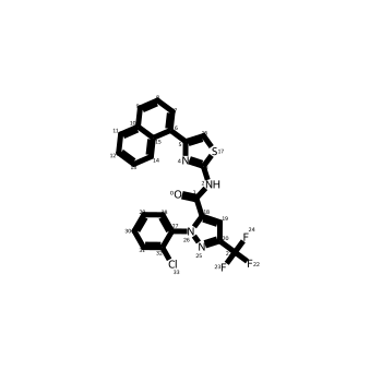 O=C(Nc1nc(-c2cccc3ccccc23)cs1)c1cc(C(F)(F)F)nn1-c1ccccc1Cl